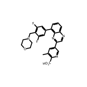 Cc1cc(-c2cnc3cccc(-c4cc(F)c(CN5CCOCC5)c(F)c4)c3n2)cnc1C(=O)O